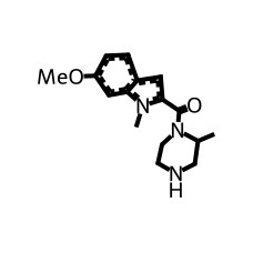 COc1ccc2cc(C(=O)N3CCNCC3C)n(C)c2c1